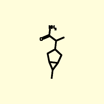 CC(C(N)=O)C1CC2C(C)C2C1